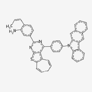 C/C=C\c1ccc(-c2nc(-c3ccc(-n4c5ccccc5c5cc6ccccc6cc54)cc3)c3c4c(sc3n2)C=CCC=C4)cc1N